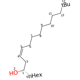 CCCCCC[C@H](O)C/C=C\CCCCCCCC(C)(C)C